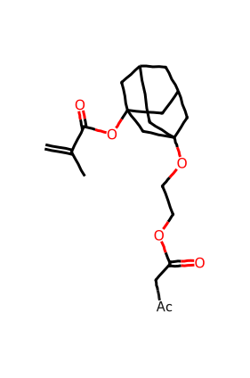 C=C(C)C(=O)OC12CC3CC(CC(OCCOC(=O)CC(C)=O)(C3)C1)C2